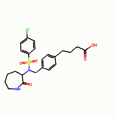 O=C(O)CCCc1ccc(CN(C2CCCCNC2=O)S(=O)(=O)c2ccc(Cl)cc2)cc1